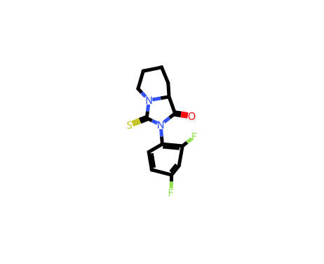 O=C1C2CCCCN2C(=S)N1c1ccc(F)cc1F